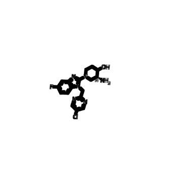 N[C@@H]1CN(c2nc3cc(F)ccc3n2Cc2ncc(Cl)cn2)CCC1O